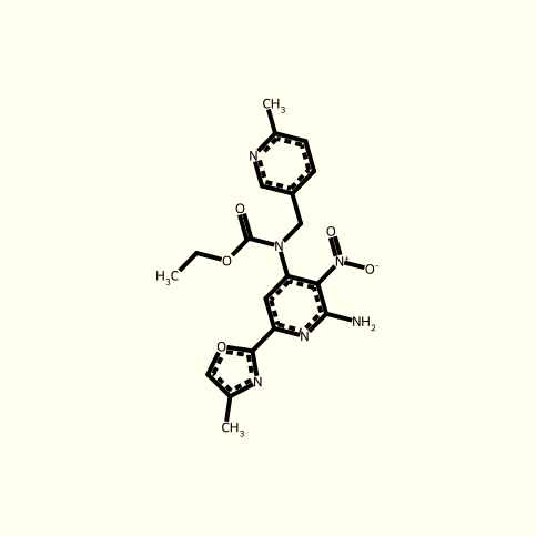 CCOC(=O)N(Cc1ccc(C)nc1)c1cc(-c2nc(C)co2)nc(N)c1[N+](=O)[O-]